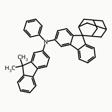 CC1(C)c2ccccc2-c2ccc(N(c3ccccc3)c3ccc4c(c3)-c3ccccc3C43C4CC5CC(C4)CC3C5)cc21